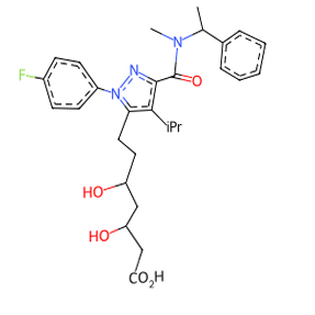 CC(C)c1c(C(=O)N(C)C(C)c2ccccc2)nn(-c2ccc(F)cc2)c1CCC(O)CC(O)CC(=O)O